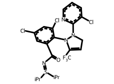 CC(C)S(=NC(=O)c1cc(Cl)cc(Cl)c1N1C(C(F)(F)F)=CCN1c1ncccc1Cl)C(C)C